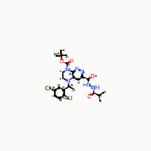 CC(C)C(=O)NNC(=O)c1cc2c(nn1)N(C(=O)OC(C)(C)C)CCN2C(C)c1cc(Cl)ccc1Cl